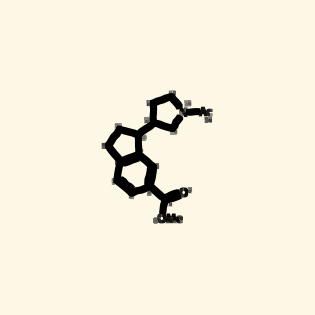 COC(=O)c1ccc2c(c1)C(C1CCN(C(C)=O)C1)CC2